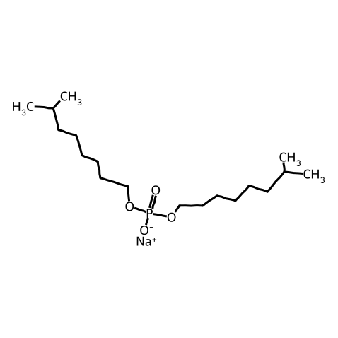 CC(C)CCCCCCOP(=O)([O-])OCCCCCCC(C)C.[Na+]